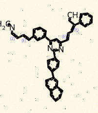 C=C/C(=C\C=C\c1cc(-c2cccc(/C=C/C=C\N=C)c2)nc(-c2ccc(-c3ccc4ccccc4c3)cc2)n1)c1ccccc1